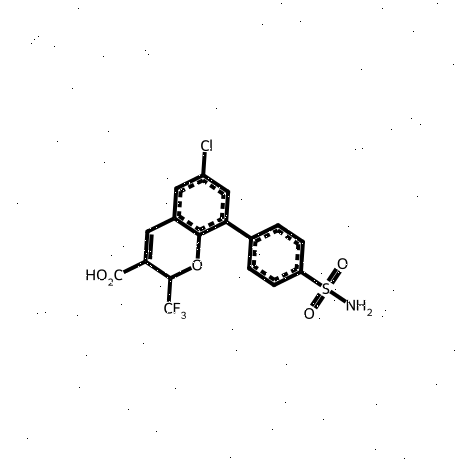 NS(=O)(=O)c1ccc(-c2cc(Cl)cc3c2OC(C(F)(F)F)C(C(=O)O)=C3)cc1